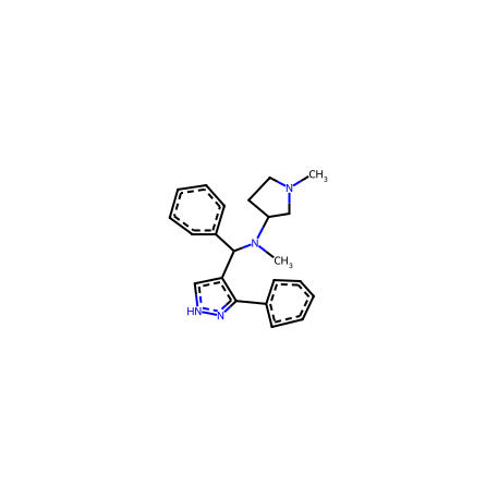 CN1CCC(N(C)C(c2ccccc2)c2c[nH]nc2-c2ccccc2)C1